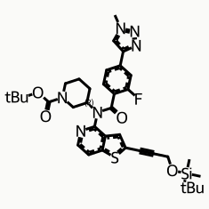 Cn1cc(-c2ccc(C(=O)N(c3nccc4sc(C#CCO[Si](C)(C)C(C)(C)C)cc34)[C@@H]3CCCN(C(=O)OC(C)(C)C)C3)c(F)c2)nn1